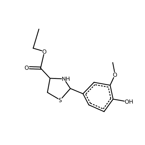 CCOC(=O)C1CSC(c2ccc(O)c(OC)c2)N1